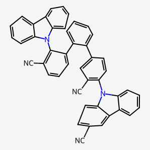 N#Cc1ccc2c(c1)c1ccccc1n2-c1ccc(-c2ccccc2-c2cccc(C#N)c2-n2c3ccccc3c3ccccc32)cc1C#N